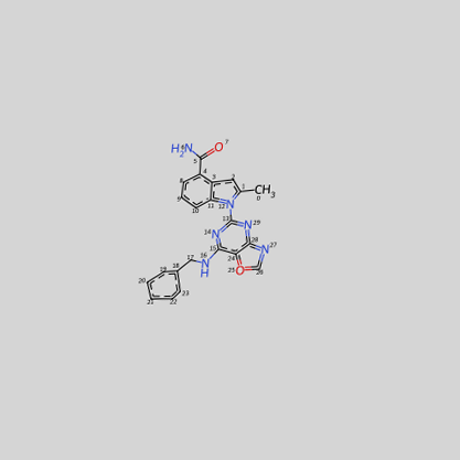 Cc1cc2c(C(N)=O)cccc2n1-c1nc(NCc2ccccc2)c2ocnc2n1